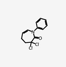 O=C1N(c2ccccc2)C=CCCC1(Cl)Cl